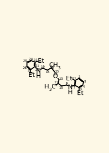 CCc1cccc(CC)c1NCCC(C)COCC(C)CCNc1c(CC)cccc1CC